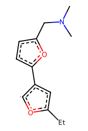 CCc1cc(-c2ccc(CN(C)C)o2)[c]o1